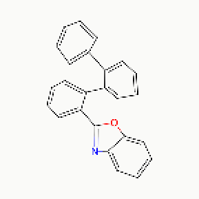 c1ccc(-c2ccccc2-c2ccccc2-c2nc3ccccc3o2)cc1